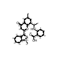 Cc1cc(C(C)Nc2ccccc2C(=O)O)c2oc(-c3nn(C)c4ccccc34)cc(=O)c2c1